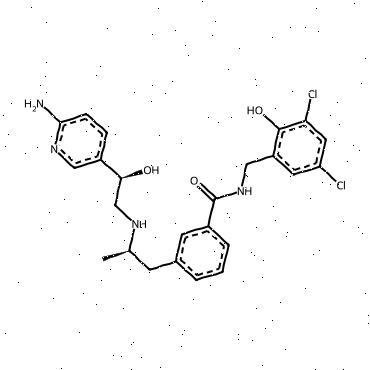 C[C@H](Cc1cccc(C(=O)NCc2cc(Cl)cc(Cl)c2O)c1)NC[C@H](O)c1ccc(N)nc1